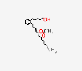 CCCCCCCC[C@@H](/C=C/CCc1ccccc1CCCCCO)OC(C)=O